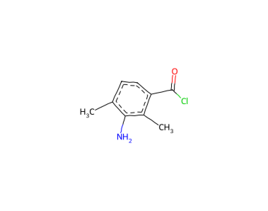 Cc1ccc(C(=O)Cl)c(C)c1N